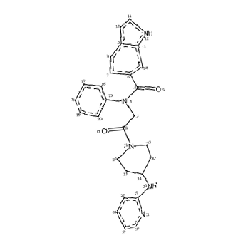 O=C(CN(C(=O)c1ccc2cc[nH]c2c1)c1ccccc1)N1CCC(Nc2ccccn2)CC1